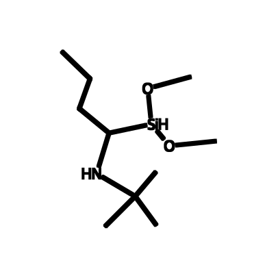 CCCC(NC(C)(C)C)[SiH](OC)OC